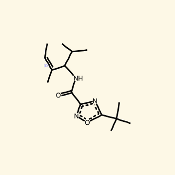 C/C=C(/C)C(NC(=O)c1noc(C(C)(C)C)n1)C(C)C